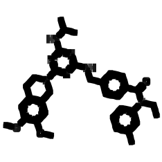 CCN(C(=O)c1ccc(CNc2nc(NC(C)C)nc(N3CCc4cc(OC)c(OC)cc4C3)n2)cc1)c1cccc(C)c1